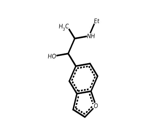 CCNC(C)C(O)c1ccc2occc2c1